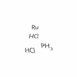 Cl.Cl.P.[Ru]